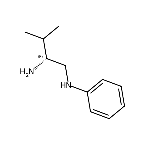 CC(C)[C@@H](N)CNc1ccccc1